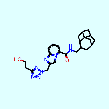 O=C(NCC12CC3CC4CC(C1)C4(C3)C2)c1cccc2nc(Cn3nnc(CCO)n3)cn12